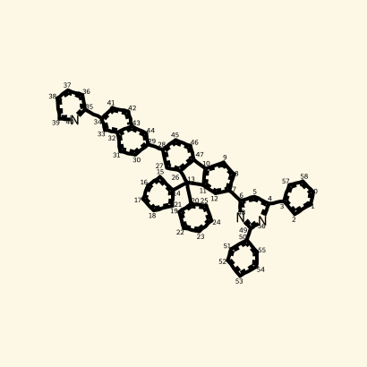 c1ccc(-c2cc(-c3ccc4c(c3)C(c3ccccc3)(c3ccccc3)c3cc(-c5ccc6cc(-c7ccccn7)ccc6c5)ccc3-4)nc(-c3ccccc3)n2)cc1